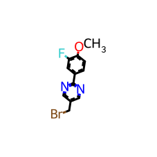 COc1ccc(-c2ncc(CBr)cn2)cc1F